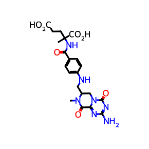 CN1C(=O)c2nc(N)nc(=O)n2CC1CNc1ccc(C(=O)NC(C)(CCC(=O)O)C(=O)O)cc1